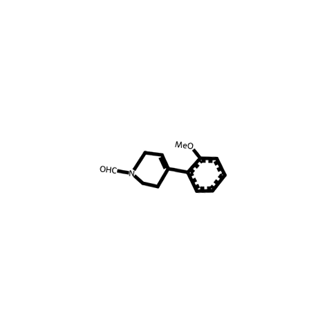 COc1ccccc1C1=CCN(C=O)CC1